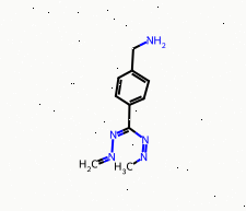 C=N/N=C(\N=N/C)c1ccc(CN)cc1